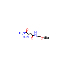 CC(C)(C)OCCNC(=O)C[C@H](N)C(N)=O